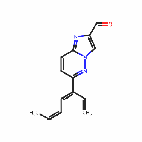 C=C/C(=C\C=C/C)c1ccc2nc(C=O)cn2n1